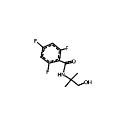 CC(C)(CO)NC(=O)c1c(F)cc(F)cc1F